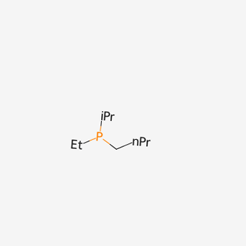 CCCCP(CC)C(C)C